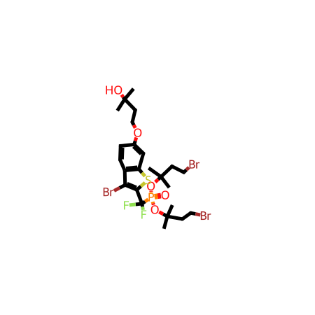 CC(C)(O)CCOc1ccc2c(Br)c(C(F)(F)P(=O)(OC(C)(C)CCBr)OC(C)(C)CCBr)sc2c1